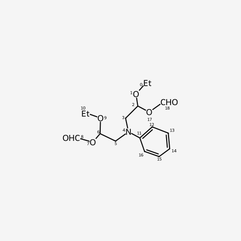 CCOC(CN(CC(OC=O)OCC)c1ccccc1)OC=O